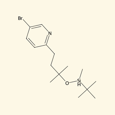 C[SiH](OC(C)(C)CCc1ccc(Br)cn1)C(C)(C)C